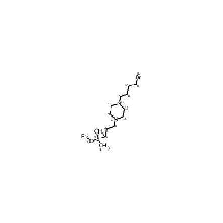 CCO[Si](C)(C)CCCN1CCN(CCCCBr)CC1